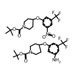 CC(C)(C)OC(=O)N1CCC(Oc2cc(N)cc(C(F)(F)F)c2)CC1.CC(C)(C)OC(=O)N1CCC(Oc2cc([N+](=O)[O-])cc(C(F)(F)F)c2)CC1